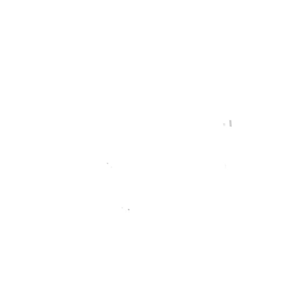 CC(CC#N)c1cccc(C(=O)Cl)c1